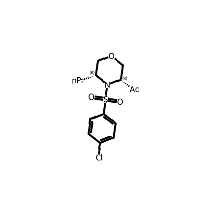 CCC[C@@H]1COC[C@H](C(C)=O)N1S(=O)(=O)c1ccc(Cl)cc1